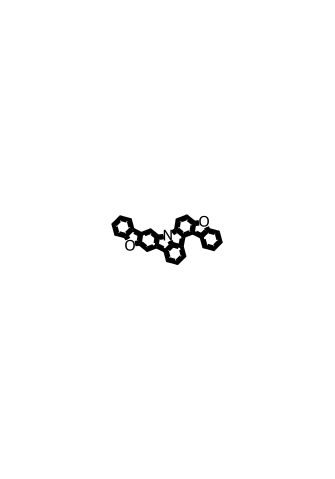 c1ccc2c(c1)oc1cc3c4cccc5c6c7c(ccc6n(c3cc12)c45)oc1ccccc17